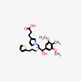 COc1cc(C(O)[C@H](CCCc2cccs2)Cn2ccc(CCC(=O)O)c2)cc(OC)c1C